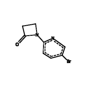 O=C1CCN1c1ccc(Br)cn1